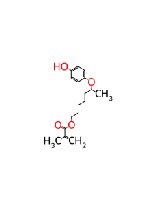 C=C(C)C(=O)OCCCCCC(C)Oc1ccc(O)cc1